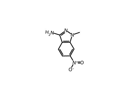 Cn1nc(N)c2ccc([N+](=O)[O-])cc21